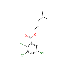 CC(C)CCCOC(=O)c1[c]c(Cl)cc(Cl)c1Cl